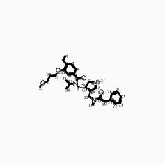 CCc1ccc(C(=O)N(C[C@@H]2CNC[C@H]2CN(C)C(=O)Cc2ccccc2)C(C)C)cc1OCCCOC